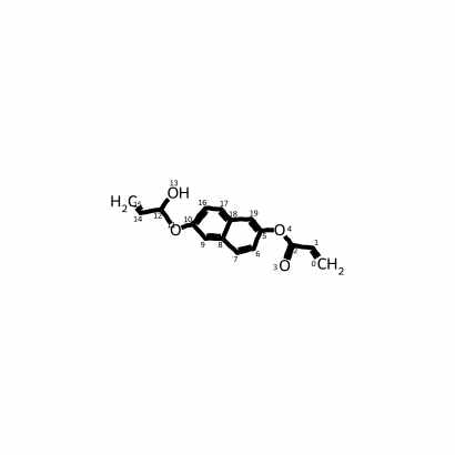 C=CC(=O)Oc1ccc2cc(OC(O)C=C)ccc2c1